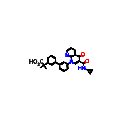 CC(C)(C(=O)O)c1cccc(-c2cccc(-n3cc(C(=O)NC4CC4)c(=O)c4cccnc43)c2)c1